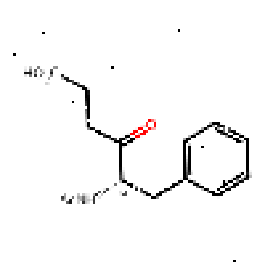 CC(=O)N[C@@H](Cc1ccccc1)C(=O)CCC(=O)O